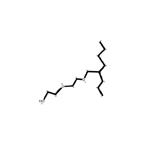 CCCCC(CCC)COCCOCCO